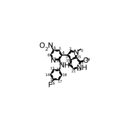 Cn1cc(-c2cc([N+](=O)[O-])cnc2Nc2ccc(F)cc2)c2cc[nH]c(=O)c21